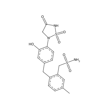 Cc1ccc(Cc2ccc(N3CC(=O)NS3(=O)=O)c(O)c2)c(CS(N)(=O)=O)c1